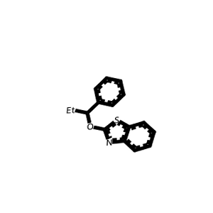 CCC(Oc1nc2ccccc2s1)c1ccccc1